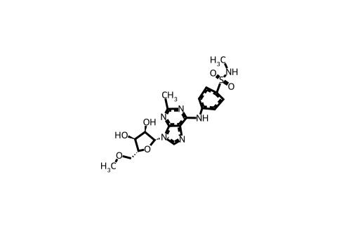 CNS(=O)(=O)c1ccc(Nc2nc(C)nc3c2ncn3[C@@H]2O[C@H](COC)[C@@H](O)[C@H]2O)cc1